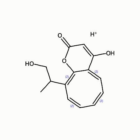 CC(CO)C1=c2\oc(=O)cc(O)\c2=C\C=C/C=C\1.[H+]